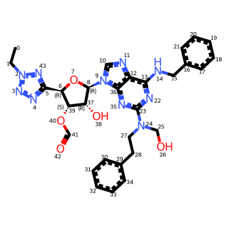 CCn1nnc([C@H]2O[C@@H](n3cnc4c(NCc5ccccc5)nc(N(CO)CCc5ccccc5)nc43)[C@H](O)[C@@H]2OC=O)n1